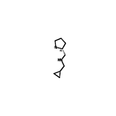 C1C[N][C@@H](CNCC2CC2)C1